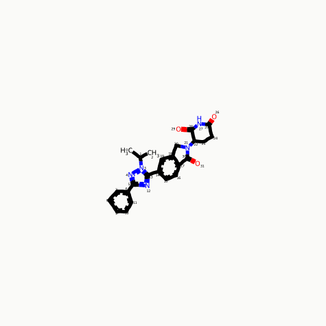 CC(C)n1nc(-c2ccccc2)nc1-c1ccc2c(c1)CN(C1CCC(=O)NC1=O)C2=O